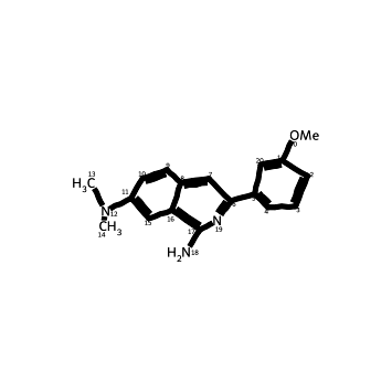 COc1cccc(-c2cc3ccc(N(C)C)cc3c(N)n2)c1